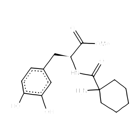 COC(=O)[C@H](Cc1ccc(O)c(O)c1)NC(=O)C1(N)CCCCC1